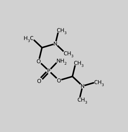 CC(OP(N)(=O)OC(C)N(C)C)N(C)C